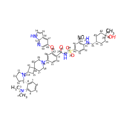 CN(C)c1ccccc1[C@@H]1CCCN1C1CC2(CCN(c3ccc(C(=O)NS(=O)(=O)c4ccc(NCC5CCC(C)(O)CC5)c([N+](=O)[O-])c4)c(Oc4cnc5[nH]ccc5c4)c3)CC2)C1